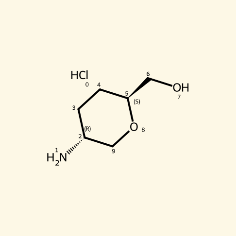 Cl.N[C@@H]1CC[C@@H](CO)OC1